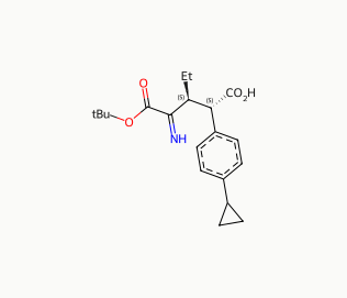 CC[C@H](C(=N)C(=O)OC(C)(C)C)[C@H](C(=O)O)c1ccc(C2CC2)cc1